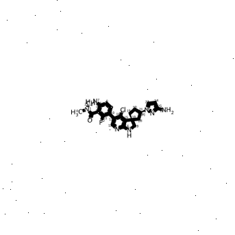 CN(C)C(=O)c1c(N)ccc(-c2cnc3c(c2Cl)[C@@]2(CC[C@@H](n4ccc(N)n4)C2)CN3)c1F